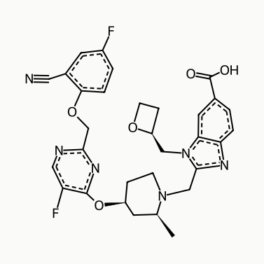 C[C@H]1C[C@@H](Oc2nc(COc3ccc(F)cc3C#N)ncc2F)CCN1Cc1nc2ccc(C(=O)O)cc2n1C[C@@H]1CCO1